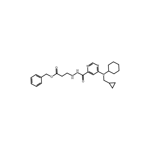 O=C(CCNNC(=O)c1cc(N(CC2CC2)C2CCCCC2)ncn1)OCc1ccccc1